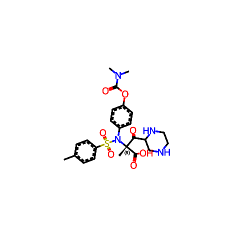 Cc1ccc(S(=O)(=O)N(c2ccc(OC(=O)N(C)C)cc2)[C@@](C)(C(=O)O)C(=O)C2CNCCN2)cc1